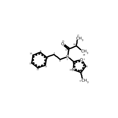 Cc1coc(N(CCc2ccccc2)C(=O)C(C)C)n1